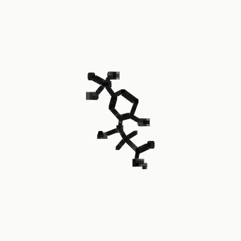 CC(=O)N(c1cc([As](=O)(O)O)ccc1O)C(C)(C)C(N)=O